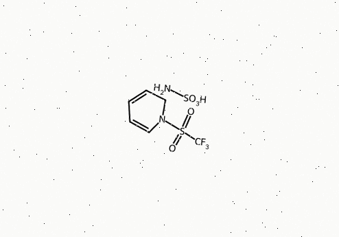 NS(=O)(=O)O.O=S(=O)(N1C=CC=CC1)C(F)(F)F